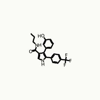 CCCNC(=O)c1c[nH]c(-c2ccc(C(F)(F)F)cc2)c1-c1cccc(O)c1